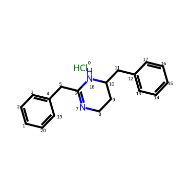 Cl.c1ccc(CC2=NCCC(Cc3ccccc3)N2)cc1